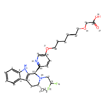 C[C@@H]1Cc2c([nH]c3ccccc23)[C@@H](c2ccc(OCCCCCCOCC(=O)O)cn2)N1CC(F)F